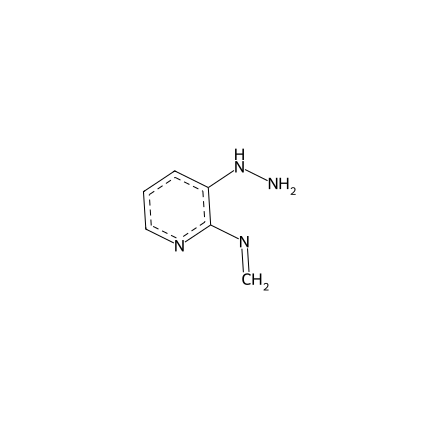 C=Nc1ncccc1NN